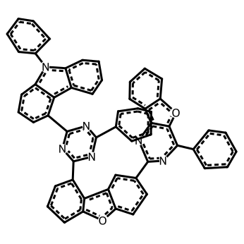 c1ccc(-c2nc(-c3cccc4oc5ccc(-c6nc(-c7ccccc7)c7oc8ccccc8c7n6)cc5c34)nc(-c3cccc4c3c3ccccc3n4-c3ccccc3)n2)cc1